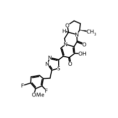 COc1c(F)ccc(Cc2nnc(-c3cn4c(c(O)c3=O)C(=O)N3[C@H](C)CCO[C@H]3C4)s2)c1F